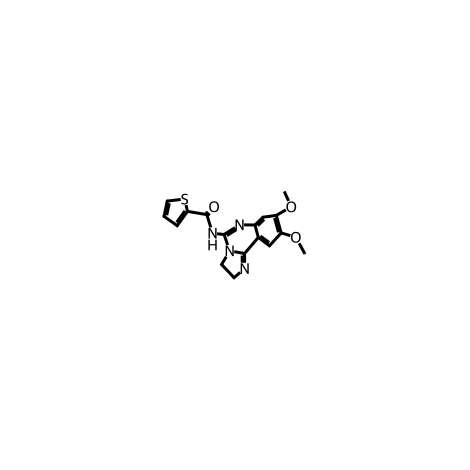 COc1cc2c(cc1OC)C1=NCCN1C(NC(=O)c1cccs1)=N2